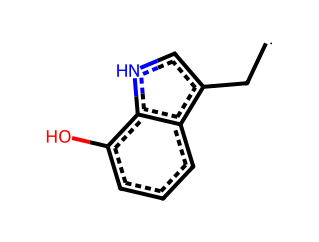 [CH2]Cc1c[nH]c2c(O)cccc12